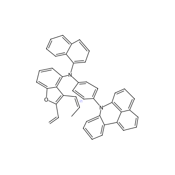 C=Cc1oc2cccc(N(c3ccc(N4c5ccccc5-c5cccc6cccc4c56)cc3)c3cccc4ccccc34)c2c1/C=C\C